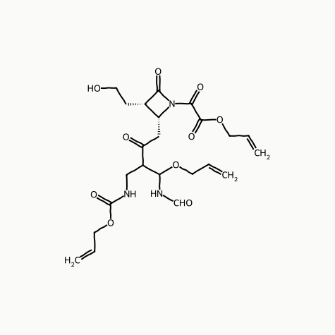 C=CCOC(=O)NCC(C(=O)C[C@@H]1[C@H](CCO)C(=O)N1C(=O)C(=O)OCC=C)C(NC=O)OCC=C